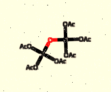 CC(=O)O[Si](OC(C)=O)(OC(C)=O)O[Si](OC(C)=O)(OC(C)=O)OC(C)=O